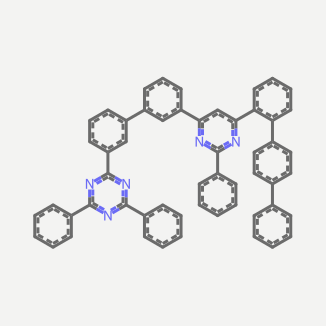 c1ccc(-c2ccc(-c3ccccc3-c3cc(-c4cccc(-c5cccc(-c6nc(-c7ccccc7)nc(-c7ccccc7)n6)c5)c4)nc(-c4ccccc4)n3)cc2)cc1